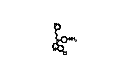 NC1CCC(N(CCCc2cccnc2)c2ccnc3cc(Cl)ccc23)CC1